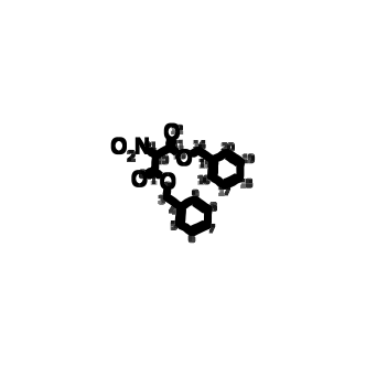 O=C(OCc1ccccc1)C(C(=O)OCc1ccccc1)[N+](=O)[O-]